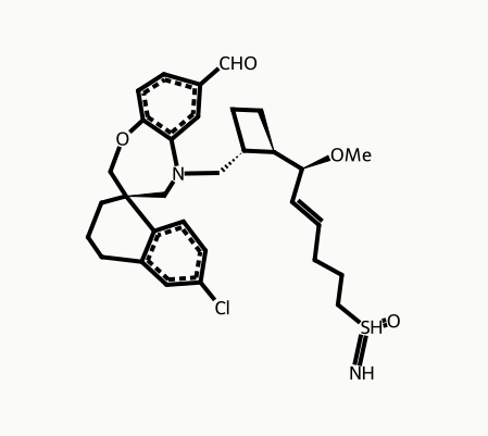 CO[C@@H](/C=C/CCC[SH](=N)=O)[C@@H]1CC[C@H]1CN1C[C@@]2(CCCc3cc(Cl)ccc32)COc2ccc(C=O)cc21